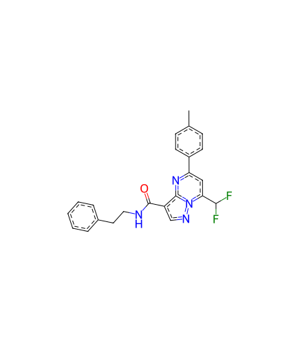 Cc1ccc(-c2cc(C(F)F)n3ncc(C(=O)NCCc4ccccc4)c3n2)cc1